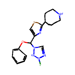 FN1N=CN(C(Oc2ccccc2)c2csc(C3CCNCC3)n2)N1